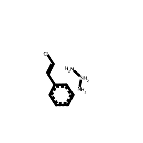 ClC=Cc1ccccc1.N[SiH2]N